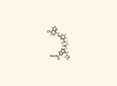 COC(=O)c1cc2c(nc(CN3CCN(c4cccc(OCc5ccc(Cl)c6ccoc56)n4)CC3)n2C[C@@H]2CCO2)s1